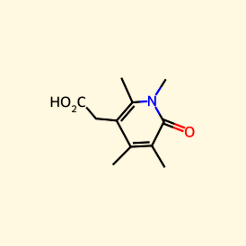 Cc1c(CC(=O)O)c(C)n(C)c(=O)c1C